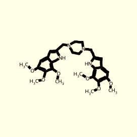 COc1cc2cc(CN3CCN(Cc4cc5cc(OC)c(OC)c(OC)c5[nH]4)CC3)[nH]c2c(OC)c1OC